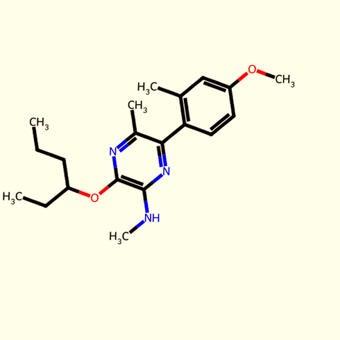 CCCC(CC)Oc1nc(C)c(-c2ccc(OC)cc2C)nc1NC